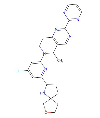 CC1c2cnc(-c3ncccn3)nc2CCN1c1cc(F)cc(C2CCC3(CCOC3)N2)n1